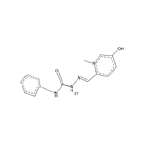 C[n+]1cc(O)ccc1C=NNC(=O)Nc1ccccc1.[Cl-]